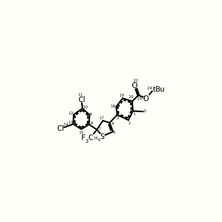 Cc1cc(C2=CSC(c3cc(Cl)cc(Cl)c3)(C(F)(F)F)C2)ccc1C(=O)OC(C)(C)C